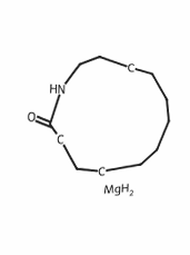 O=C1CCCCCCCCCCCN1.[MgH2]